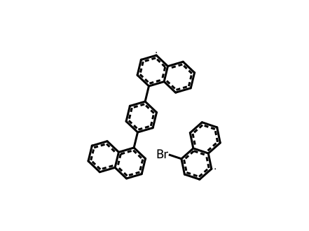 Brc1cc[c]c2ccccc12.[c]1ccc(-c2ccc(-c3cccc4ccccc34)cc2)c2ccccc12